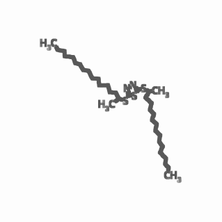 CCCCCCCCCCCCCCCC(C)Sc1nnc(SC(C)CCCCCCCCCCCCCCC)s1